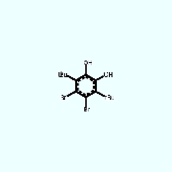 CC(C)(C)c1c(O)c(O)c(C(C)(C)C)c(Br)c1Br